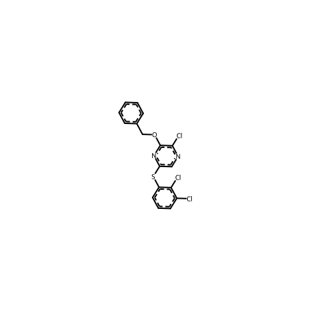 Clc1cccc(Sc2cnc(Cl)c(OCc3ccccc3)n2)c1Cl